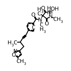 CNC(=O)C(C)(C(=O)NO)N(C)C(=O)c1ccc(C#CC(C)Cc2cc(C)on2)cc1